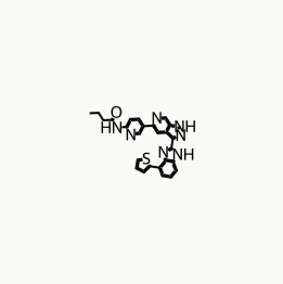 CCCC(=O)Nc1ccc(-c2cc3c(-c4nc5c(-c6cccs6)cccc5[nH]4)n[nH]c3cn2)cn1